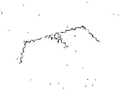 CCCCCCCC/C=C\CCCCCCCCOCC(COCCCCCCCC/C=C\CCCCCCCC)NS(=O)(=O)OCCN(C)C